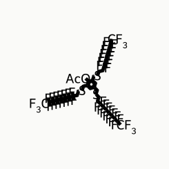 CC(=O)Oc1c(CSCCC(F)(F)C(F)(F)C(F)(F)C(F)(F)C(F)(F)C(F)(F)C(F)(F)C(F)(F)F)cc(CSCCC(F)(F)C(F)(F)C(F)(F)C(F)(F)C(F)(F)C(F)(F)C(F)(F)C(F)(F)F)cc1CSCCC(F)(F)C(F)(F)C(F)(F)C(F)(F)C(F)(F)C(F)(F)C(F)(F)C(F)(F)F